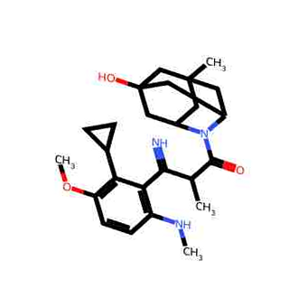 CNc1ccc(OC)c(C2CC2)c1C(=N)C(C)C(=O)N1C2CC3(C)CC1CC(O)(C2)C3